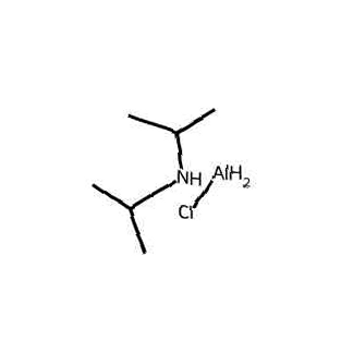 CC(C)NC(C)C.[AlH2][Cl]